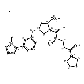 Cn1nccc1-c1cccc(C[C@@H]2C[C@@H](C(=O)O)N(C(=O)[C@H](N)CCC(=O)N3CCCC3)C2)c1